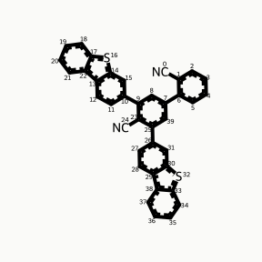 N#Cc1ccccc1-c1cc(-c2ccc3c(c2)sc2ccccc23)c(C#N)c(-c2ccc3c(c2)sc2ccccc23)c1